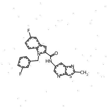 [CH2]c1nc2cc(NC(=O)c3cc4cc(F)ccc4n3Cc3cccc(F)c3)cnc2s1